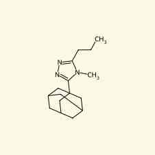 CCCc1nnc(C23CC4CC(CC(C4)C2)C3)n1C